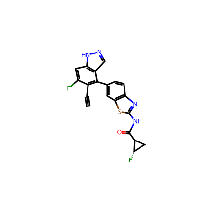 C#Cc1c(F)cc2[nH]ncc2c1-c1ccc2nc(NC(=O)C3C[C@@H]3F)sc2c1